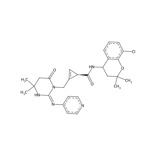 CC1(C)CC(=O)N(CC2=C[C@H]2C(=O)NC2CC(C)(C)Oc3c(Cl)cccc32)/C(=N\c2ccncc2)N1